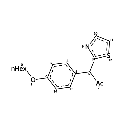 CCCCCCOc1ccc(C(C(C)=O)c2nccs2)cc1